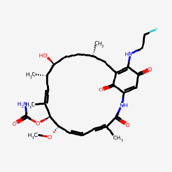 CO[C@H]1/C=C\C=C(/C)C(=O)NC2=CC(=O)C(NCCF)=C(C[C@@H](C)CC[C@H](O)[C@@H](C)/C=C(\C)[C@@H]1OC(N)=O)C2=O